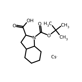 CC(C)(C)OC(=O)N1C(C(=O)O)CC2CCCCC21.[Cs]